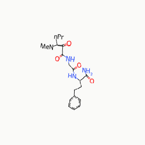 CCCC(NC)C(=O)C(=O)NCC(=O)NC(CCc1ccccc1)C(N)=O